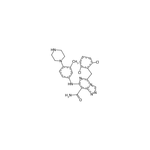 Cc1cc(Nc2nc(Cc3c(Cl)cccc3Cl)n3cnnc3c2C(N)=O)ccc1N1CCNCC1